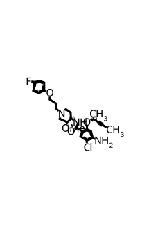 CC#C[C@H](C)Oc1cc(N)c(Cl)cc1C(=O)N[C@@H]1CCN(CCCOc2ccc(F)cc2)C[C@@H]1OC